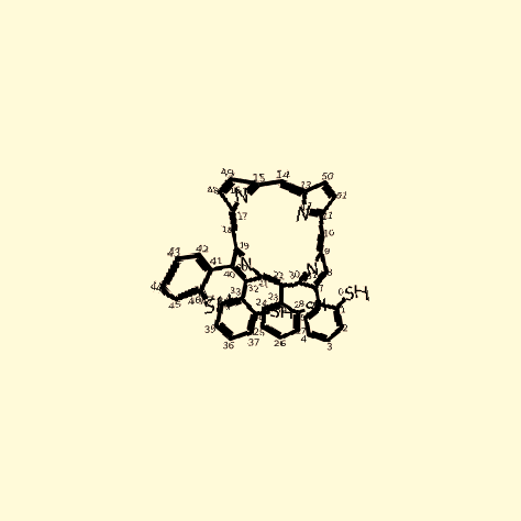 Sc1ccccc1C1=CC2=CC3=NC(=CC4=NC(=CC5=NC(=C(c6ccccc6S)C1=N2)C(c1ccccc1S)=C5c1ccccc1S)C=C4)C=C3